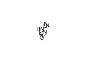 Cn1cc(Nc2ncc3cccn3n2)cn1